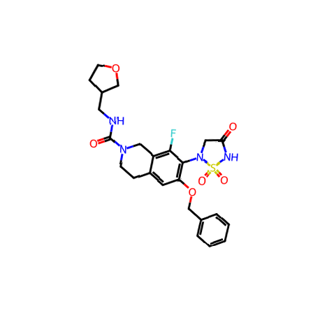 O=C1CN(c2c(OCc3ccccc3)cc3c(c2F)CN(C(=O)NCC2CCOC2)CC3)S(=O)(=O)N1